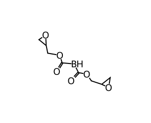 O=C(BC(=O)OCC1CO1)OCC1CO1